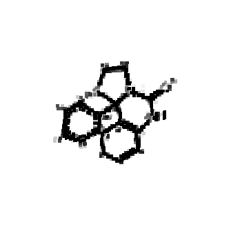 O=C1NC2=C(CCC=C2)C2(c3ccccc3)SCCN12